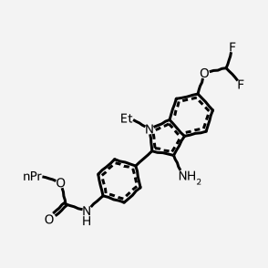 CCCOC(=O)Nc1ccc(-c2c(N)c3ccc(OC(F)F)cc3n2CC)cc1